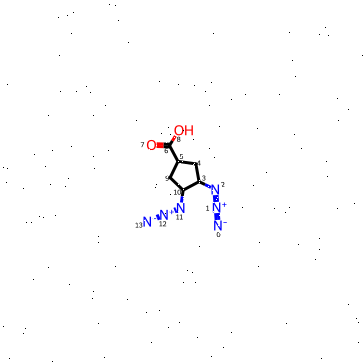 [N-]=[N+]=NC1CC(C(=O)O)CC1N=[N+]=[N-]